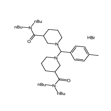 Br.CCCCN(CCCC)C(=O)C1CCCN(C(c2ccc(C)cc2)N2CCCC(C(=O)N(CCCC)CCCC)C2)C1